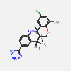 COc1cc(Br)cc2c1OC[C@@H]1[C@@H]2Nc2ccc(-c3nnn[nH]3)cc2C1(C)C